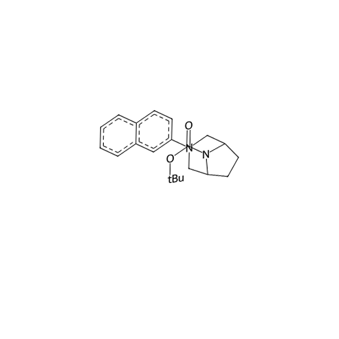 CC(C)(C)OC(=O)N1C2CCC1CN(c1ccc3ccccc3c1)C2